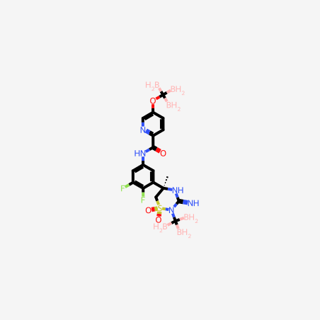 BC(B)(B)Oc1ccc(C(=O)Nc2cc(F)c(F)c([C@]3(C)CS(=O)(=O)N(C(B)(B)B)C(=N)N3)c2)nc1